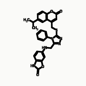 CC(C)c1ccc2oc(=O)cc(CSc3nnc(CNc4ccc5[nH]c(=O)oc5c4)n3-c3ccccc3)c2c1